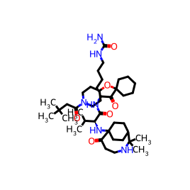 CC(C)[C@H](NC12CCC(CC1)C(C)(C)NCCC2=O)C(=O)N[C@@H](CCCCNC(N)=O)C(=O)C1(OC2CCN(C(=O)CC(C)(C)C)CC2)CCCCC1